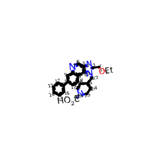 CCOCc1nc2cnc3cc(-c4ccccc4)ccc3c2n1CC1CCN(C(=O)O)CC1